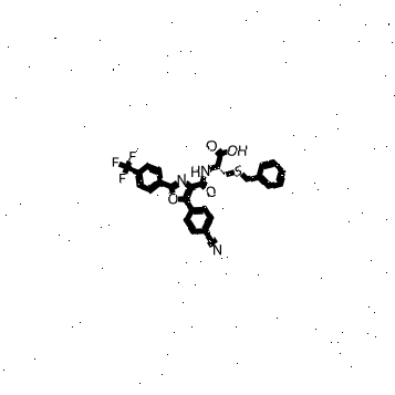 N#Cc1ccc(-c2oc(-c3ccc(C(F)(F)F)cc3)nc2C(=O)N[C@@H](CSCc2ccccc2)C(=O)O)cc1